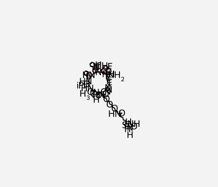 CC(C)C[C@H]1NC(=O)[C@@H](C)NC(=O)[C@@H](NC(=O)COCCOCCOCCNC(=O)CCCCC2SC[C@H]3NC(=O)N[C@@H]23)Cc2cn(nn2)CCCC[C@@H](C(N)=O)NC(=O)[C@H](Cc2ccc(F)cc2)NC(=O)[C@H](Cc2cn(C)c3ccccc23)NC(=O)[C@@H](Cc2ccccc2)NC1=O